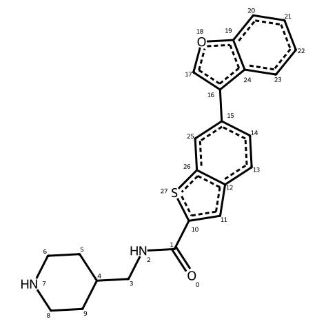 O=C(NCC1CCNCC1)c1cc2ccc(-c3coc4ccccc34)cc2s1